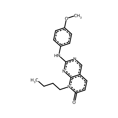 CCCCn1c(=O)ccc2cnc(Nc3ccc(OC)cc3)nc21